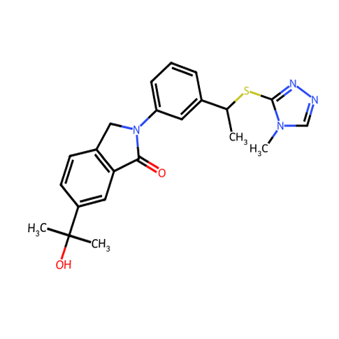 CC(Sc1nncn1C)c1cccc(N2Cc3ccc(C(C)(C)O)cc3C2=O)c1